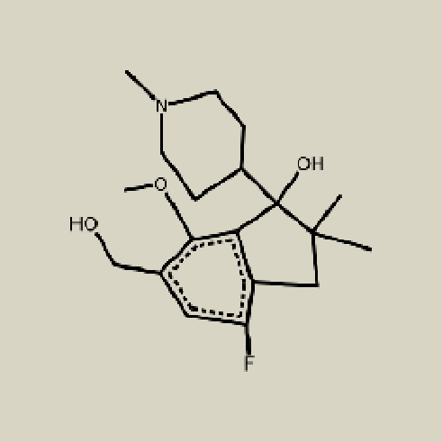 COc1c(CO)cc(F)c2c1C(O)(C1CCN(C)CC1)C(C)(C)C2